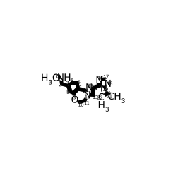 CNCc1ccc2c(c1)OCCn1cc(-c3ncnn3C(C)C)nc1-2